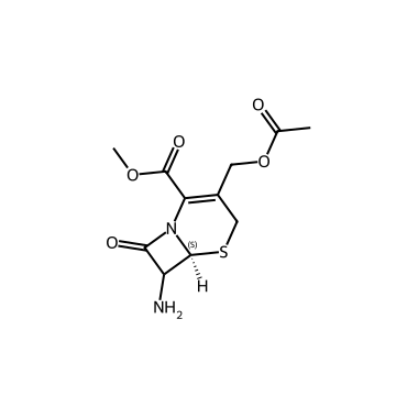 COC(=O)C1=C(COC(C)=O)CS[C@H]2C(N)C(=O)N12